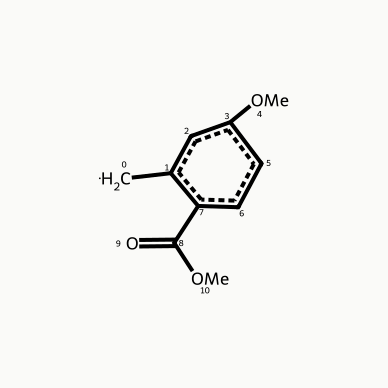 [CH2]c1cc(OC)ccc1C(=O)OC